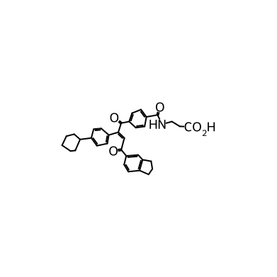 O=C(O)CCNC(=O)c1ccc(C(=O)/C(=C/C(=O)c2ccc3c(c2)CCC3)c2ccc(C3CCCCC3)cc2)cc1